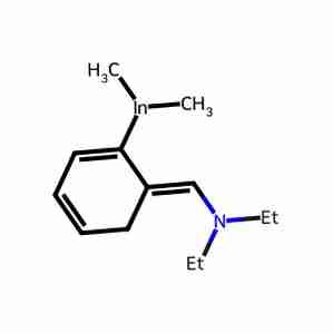 CCN(C=C1CC=CC=[C]1[In]([CH3])[CH3])CC